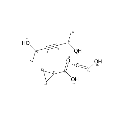 CC(O)C#CC(C)O.O=C(O)C1CC1.O=CO